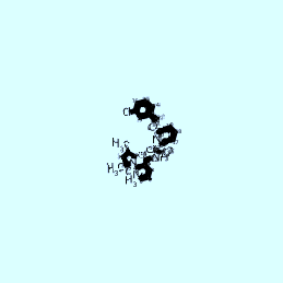 CC1CN(c2ncccc2C(=O)NS(=O)(=O)c2cccc(OCc3cccc(Cl)c3)n2)C(C)(C)C1